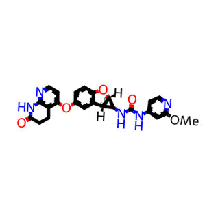 COc1cc(NC(=O)NC2[C@H]3Oc4ccc(Oc5ccnc6c5CCC(=O)N6)cc4[C@@H]23)ccn1